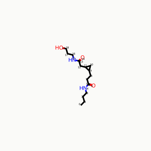 CCCCNC(=O)CCC1CC1CC(=O)NCCCO